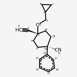 C#C[C@]1(OCC2CC2)CC[C@](C#N)(c2ccccc2)CC1